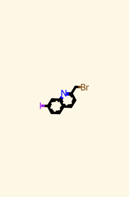 BrCc1ccc2ccc(I)cc2n1